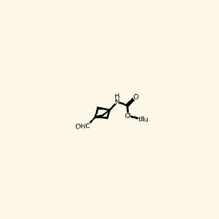 CC(C)(C)OC(=O)NC12CC(C=O)(C1)C2